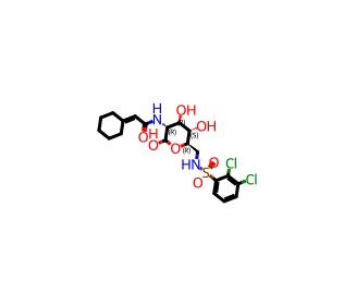 O=C(C=C1CCCCC1)N[C@H]1C(O)O[C@H](CNS(=O)(=O)c2cccc(Cl)c2Cl)[C@@H](O)[C@@H]1O